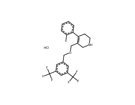 Cc1ccccc1C1=C(COCc2cc(C(F)(F)F)cc(C(F)(F)F)c2)CNCC1.Cl